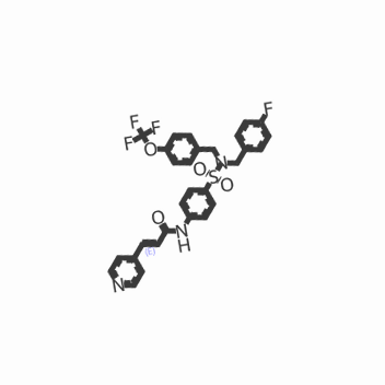 O=C(/C=C/c1ccncc1)Nc1ccc(S(=O)(=O)N(Cc2ccc(F)cc2)Cc2ccc(OC(F)(F)F)cc2)cc1